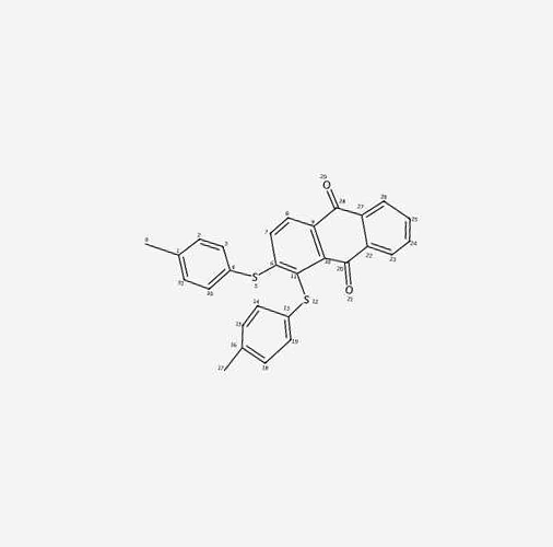 Cc1ccc(Sc2ccc3c(c2Sc2ccc(C)cc2)C(=O)c2ccccc2C3=O)cc1